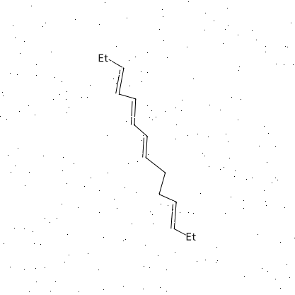 CC/C=C/C=C/C=C/CC/C=C/CC